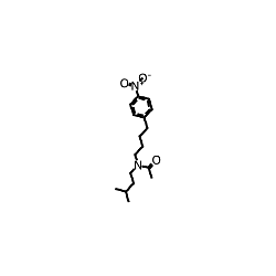 CC(=O)N(CCCCc1ccc([N+](=O)[O-])cc1)CCC(C)C